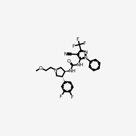 COCCN1C[C@@H](NC(=O)Nc2c(C#N)c(C(F)(F)F)nn2-c2ccccc2)[C@H](c2ccc(F)c(F)c2)C1